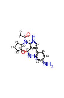 CCC(=O)N(c1[nH]cc(-c2ccc(N)cc2)c1C(N)=O)C1CCCC1